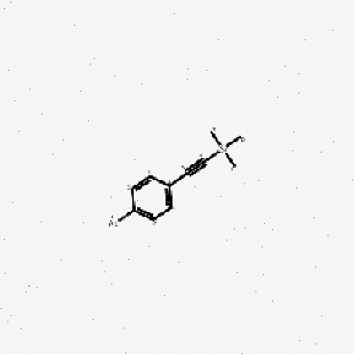 CC(=O)c1ccc(C#C[Si](C)(C)C)cc1